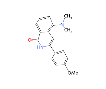 COc1ccc(-c2cc3c(N(C)C)cccc3c(=O)[nH]2)cc1